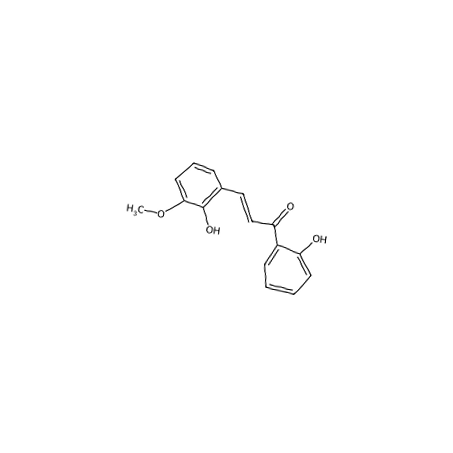 COc1cccc(C=CC(=O)c2ccccc2O)c1O